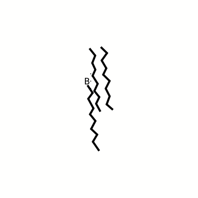 CCCCCCCCCC.CCCCCCCCCC.CCCCCCCCCC.[B]